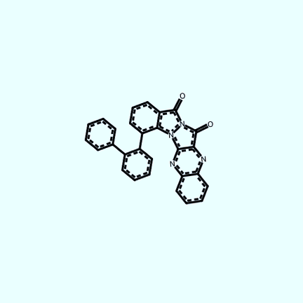 O=c1c2cccc(-c3ccccc3-c3ccccc3)c2n2c3nc4ccccc4nc3c(=O)n12